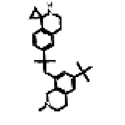 CN1CCc2cc(C(C)(C)C)cc(CC(C)(C)c3ccc4c(c3)CCNC43CC3)c2C1